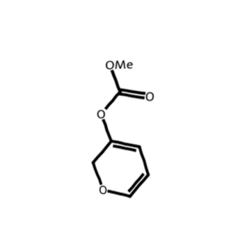 COC(=O)OC1=CC=COC1